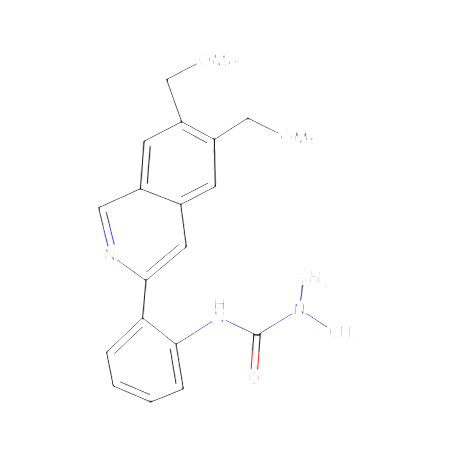 COCc1cc2cnc(-c3ccccc3NC(=O)N(C)C)cc2cc1COC